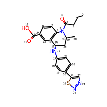 CCCC(=O)N1c2ccc(C(=O)O)cc2[C@H](Nc2ccc(-c3cnns3)cc2)C[C@@H]1C